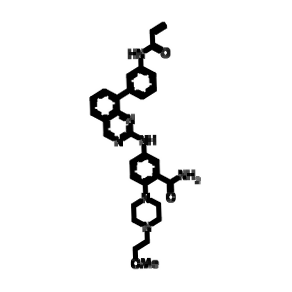 C=CC(=O)Nc1cccc(-c2cccc3cnc(Nc4ccc(N5CCN(CCOC)CC5)c(C(N)=O)c4)nc23)c1